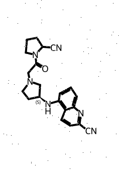 N#Cc1ccc2c(N[C@H]3CCN(CC(=O)N4CCCC4C#N)C3)cccc2n1